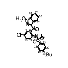 Cn1nc(C(=O)c2cc(Cl)ccc2NS(=O)(=O)c2ccc(C(C)(C)C)cc2)c2ccccc21